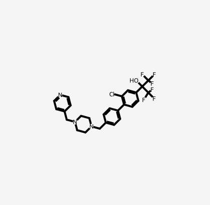 OC(c1ccc(-c2ccc(CN3CCN(Cc4ccncc4)CC3)cc2)c(Cl)c1)(C(F)(F)F)C(F)(F)F